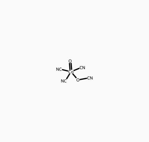 N#C[O][Co](=[O])([C]#N)([C]#N)[C]#N